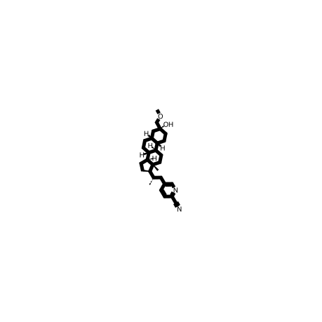 COC[C@@]1(O)CC[C@H]2[C@H](CC[C@@H]3[C@@H]2CC[C@]2(C)[C@@H]([C@@H](C)Cc4ccc(C#N)nc4)CC[C@@H]32)C1